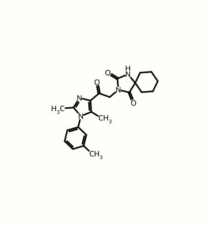 Cc1cccc(-n2c(C)nc(C(=O)CN3C(=O)NC4(CCCCC4)C3=O)c2C)c1